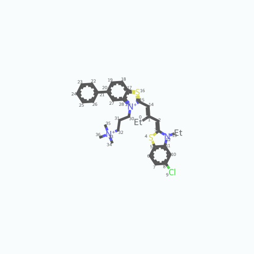 CCC(/C=C1\Sc2ccc(Cl)cc2N1CC)=C\c1sc2ccc(-c3ccccc3)cc2[n+]1CCC[N+](C)(C)C